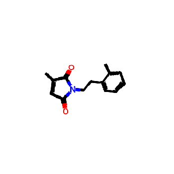 CC1=CC(=O)N(CCc2ccccc2C)C1=O